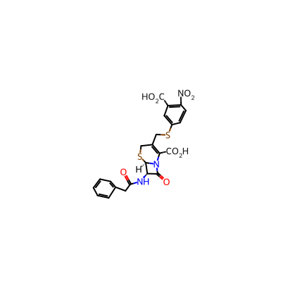 O=C(Cc1ccccc1)N[C@@H]1C(=O)N2C(C(=O)O)=C(CSc3ccc([N+](=O)[O-])c(C(=O)O)c3)CS[C@H]12